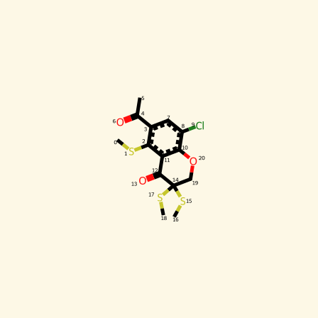 CSc1c(C(C)=O)cc(Cl)c2c1C(=O)C(SC)(SC)CO2